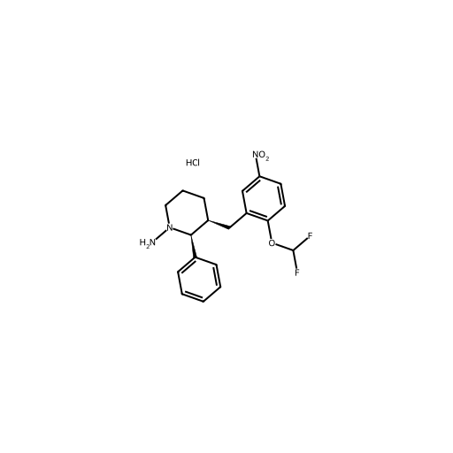 Cl.NN1CCC[C@@H](Cc2cc([N+](=O)[O-])ccc2OC(F)F)[C@H]1c1ccccc1